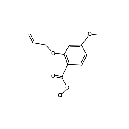 C=CCOc1cc(OC)ccc1C(=O)OCl